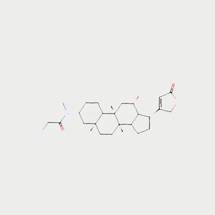 CN(C(=O)CN)[C@@H]1CC[C@]2(C)[C@H](CC[C@@H]3[C@H]2C[C@@H](O)[C@@]2(C)[C@@H](C4=CC(=O)OC4)CC[C@@]32O)C1